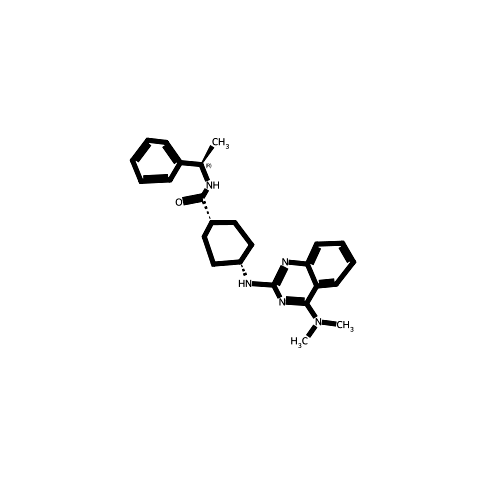 C[C@@H](NC(=O)[C@H]1CC[C@@H](Nc2nc(N(C)C)c3ccccc3n2)CC1)c1ccccc1